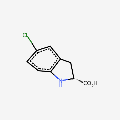 O=C(O)[C@H]1Cc2cc(Cl)ccc2N1